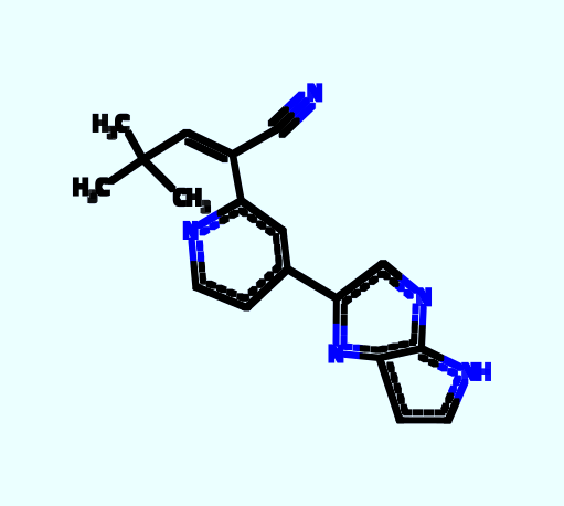 CC(C)(C)/C=C(/C#N)c1cc(-c2cnc3[nH]ccc3n2)ccn1